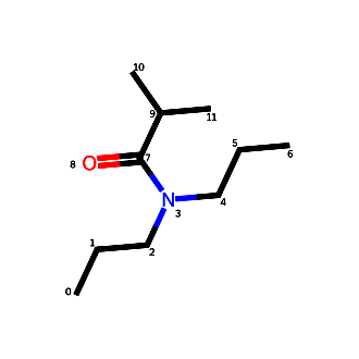 CCCN(CCC)C(=O)C(C)C